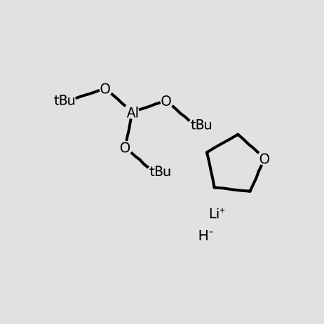 C1CCOC1.CC(C)(C)[O][Al]([O]C(C)(C)C)[O]C(C)(C)C.[H-].[Li+]